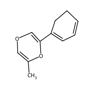 CC1=COC=C(C2=CC=CCC2)O1